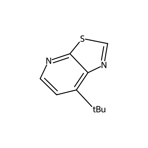 CC(C)(C)c1ccnc2scnc12